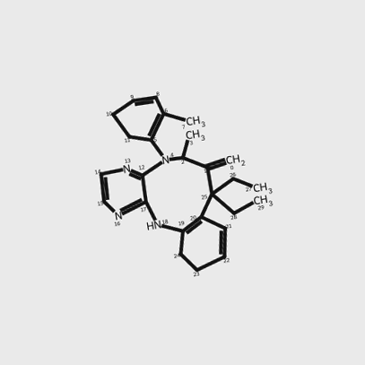 C=C1C(C)N(C2=C(C)C=CCC2)c2nccnc2NC2=C(C=CCC2)C1(CC)CC